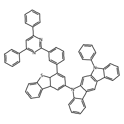 C1=C(c2cccc(-c3nc(-c4ccccc4)cc(-c4ccccc4)n3)c2)C2Sc3ccccc3C2C=C1n1c2ccccc2c2cc3c4ccccc4n(-c4ccccc4)c3cc21